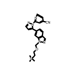 C[Si](C)(C)CCOCn1ncc2ccc(-c3ccnn3-c3cc(C#N)ccn3)cc21